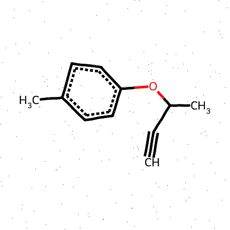 C#CC(C)Oc1ccc(C)cc1